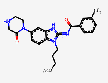 CC(=O)OCCCn1/c(=N/C(=O)c2cccc(C(F)(F)F)c2)[nH]c2cc(N3CCNCC3=O)ccc21